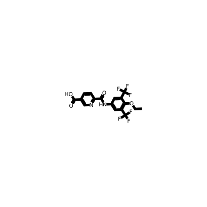 CCOc1c(C(F)(F)F)cc(NC(=O)c2ccc(C(=O)O)cn2)cc1C(F)(F)F